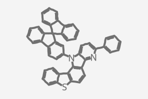 c1ccc(-c2ccc3c(n2)c2ccc4sc5ccccc5c4c2n3-c2ccc3c(c2)C2(c4ccccc4-c4ccccc42)c2ccccc2-3)cc1